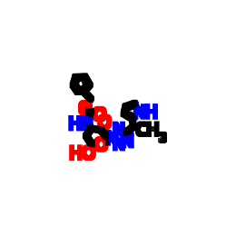 CC(c1nnn(CC(=O)C(CC(=O)O)NC(=O)OCc2ccccc2)n1)c1ccc[nH]1